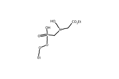 CCOOP(=O)(O)CN(O)CC(=O)OCC